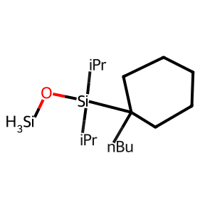 CCCCC1([Si](O[SiH3])(C(C)C)C(C)C)CCCCC1